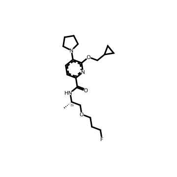 C[C@@H](COCCCF)NC(=O)c1ccc(N2CCCC2)c(OCC2CC2)n1